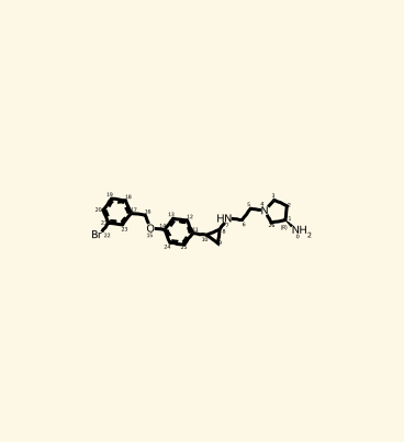 N[C@@H]1CCN(CCNC2CC2c2ccc(OCc3cccc(Br)c3)cc2)C1